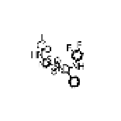 CC(=O)Nc1ncc(S(=O)(=O)N2CC(Nc3ccc(F)c(F)c3)C(c3ccccc3)C2)s1